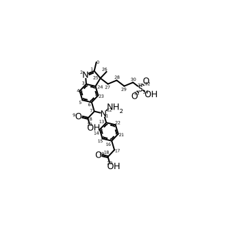 CC1=Nc2ccc(C(C(=O)O)N(N)c3ccc(CC(=O)O)cc3)cc2C1(C)CCCCS(=O)(=O)O